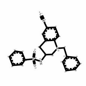 [C-]#[N+]c1ccc2c(c1)CC(NS(=O)(=O)c1ccccc1)CN2Cc1ccccc1